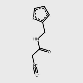 [C-]#[N+]CC(=O)NCc1cccs1